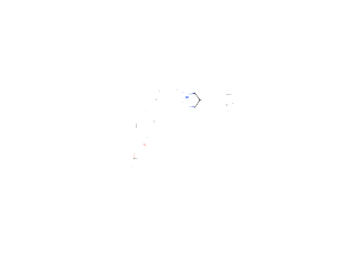 CC(C)(C)OC(=O)N1CCC(OC2CC(Cn3cc(B4OC(C)(C)C(C)(C)O4)cn3)C2)CC1